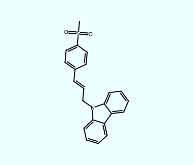 CS(=O)(=O)c1ccc(/C=C/Cn2c3ccccc3c3ccccc32)cc1